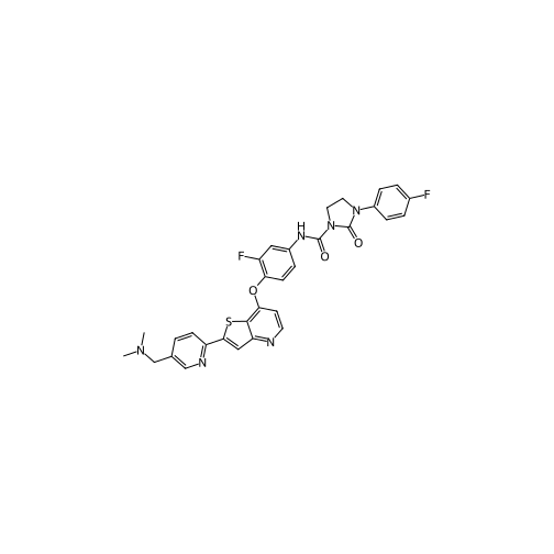 CN(C)Cc1ccc(-c2cc3nccc(Oc4ccc(NC(=O)N5CCN(c6ccc(F)cc6)C5=O)cc4F)c3s2)nc1